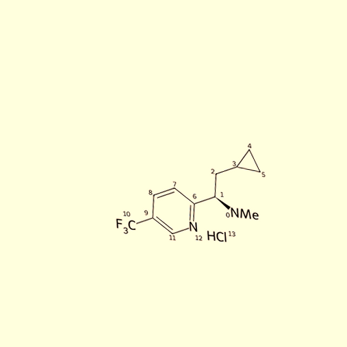 CN[C@H](CC1CC1)c1ccc(C(F)(F)F)cn1.Cl